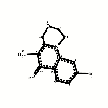 O=C(O)c1c2n(c3cc(Br)ccc3c1=O)CCOC2